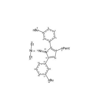 CCCCCC1=C(c2cccc(CCCC)c2)[N+](=[N-])C(c2cccc(CCCC)c2)=C1.C[CH2][Ni][CH2]C